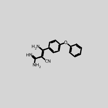 N#C/C(C(=N)N)=C(/N)c1ccc(Oc2ccccc2)cc1